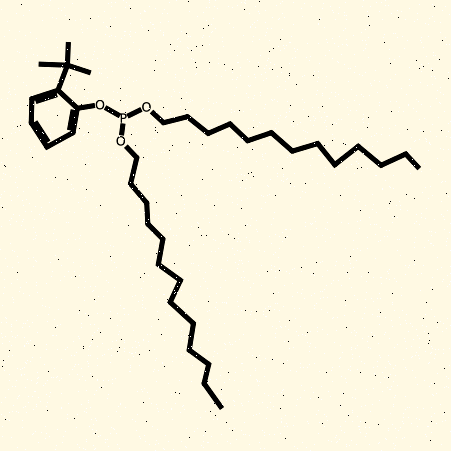 CCCCCCCCCCCCCOP(OCCCCCCCCCCCCC)Oc1ccccc1C(C)(C)C